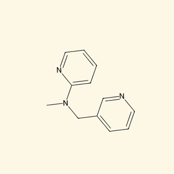 CN(Cc1cccnc1)c1ccccn1